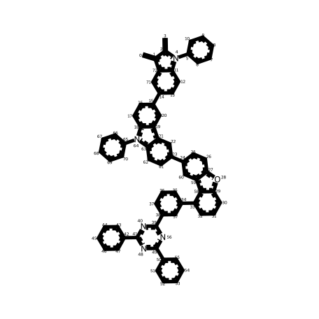 C=c1c(=C)n(-c2ccccc2)c2ccc(-c3ccc4c(c3)c3cc(-c5ccc6oc7cccc(-c8cccc(-c9nc(-c%10ccccc%10)nc(-c%10ccccc%10)n9)c8)c7c6c5)ccc3n4-c3ccccc3)cc12